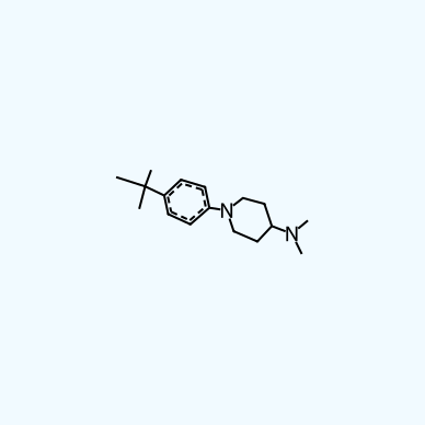 CN(C)C1CCN(c2ccc(C(C)(C)C)cc2)CC1